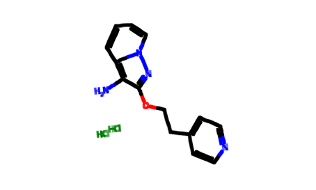 Cl.Cl.Nc1c(OCCc2ccncc2)nn2ccccc12